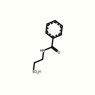 O=C(NCCS(=O)(=O)O)c1ccccc1